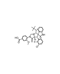 COc1cc(C(=O)O)ccc1N1CN2[C@@H](CC(C)(C)C)C3(C(=O)Nc4cccnc43)[C@@H](c3cccc(Cl)c3F)[C@@H]2C1=O